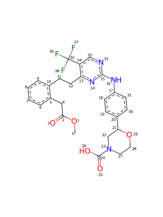 COC(=O)Cc1ccccc1CCc1nc(Nc2ccc(C3CN(C(=O)O)CCO3)cc2)ncc1C(F)(F)F